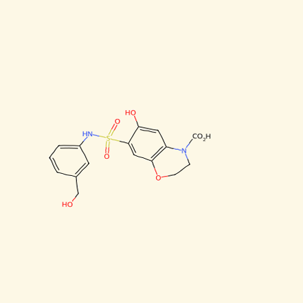 O=C(O)N1CCOc2cc(S(=O)(=O)Nc3cccc(CO)c3)c(O)cc21